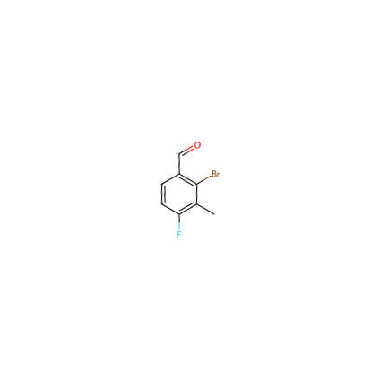 Cc1c(F)ccc([C]=O)c1Br